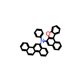 c1ccc(N(c2cc3c4ccccc4ccc3c3ccccc23)c2cc3ccccc3c3c2oc2ccccc23)cc1